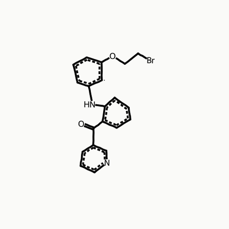 O=C(c1cccnc1)c1ccccc1Nc1[c]c(OCCBr)ccc1